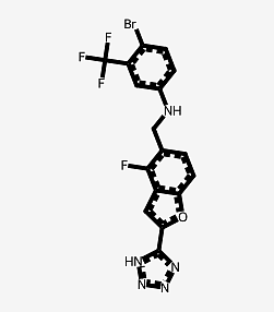 Fc1c(CNc2ccc(Br)c(C(F)(F)F)c2)ccc2oc(-c3nnn[nH]3)cc12